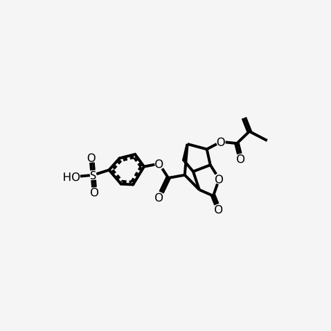 C=C(C)C(=O)OC1C2CC3C1OC(=O)C3C2C(=O)Oc1ccc(S(=O)(=O)O)cc1